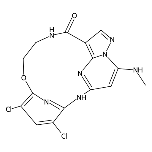 CNc1cc2nc3c(cnn13)C(=O)NCCOc1nc(c(Cl)cc1Cl)N2